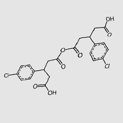 O=C(O)CC(CC(=O)OC(=O)CC(CC(=O)O)c1ccc(Cl)cc1)c1ccc(Cl)cc1